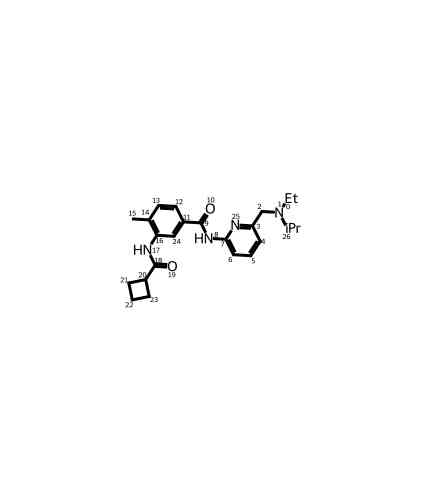 CCN(Cc1cccc(NC(=O)c2ccc(C)c(NC(=O)C3CCC3)c2)n1)C(C)C